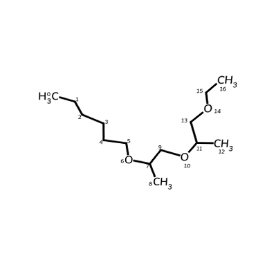 CCCCCCOC(C)COC(C)COCC